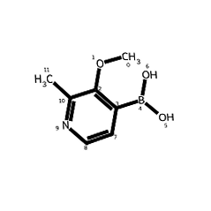 COc1c(B(O)O)ccnc1C